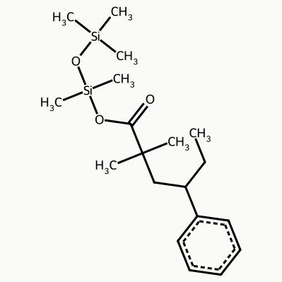 CCC(CC(C)(C)C(=O)O[Si](C)(C)O[Si](C)(C)C)c1ccccc1